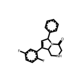 O=C1CNCC2C(c3cc(F)ccc3F)=CC(c3ccccc3)N12